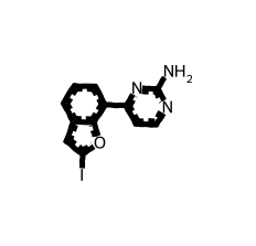 Nc1nccc(-c2cccc3cc(I)oc23)n1